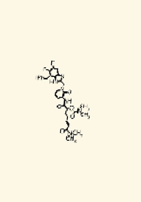 CC(C)Cc1c(F)c(F)cc2nc(Cn3cccc(NC(=O)C(CC/C=C/C(=O)N(C)C)OC(=O)N(C)C)c3=O)[nH]c12